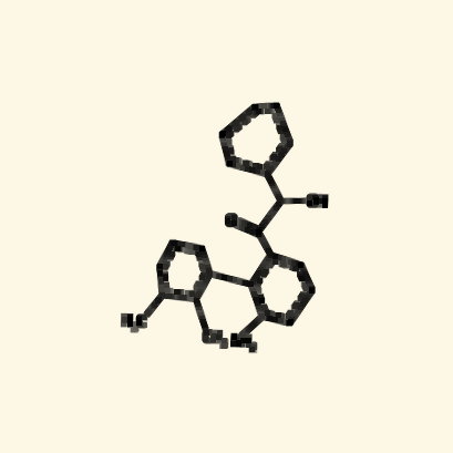 Cc1cccc(-c2c(N)cccc2C(=O)C(O)c2ccccc2)c1C